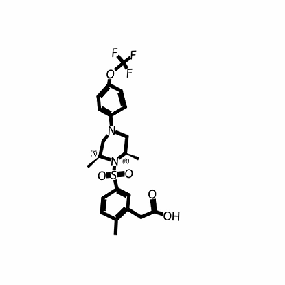 Cc1ccc(S(=O)(=O)N2[C@H](C)CN(c3ccc(OC(F)(F)F)cc3)C[C@@H]2C)cc1CC(=O)O